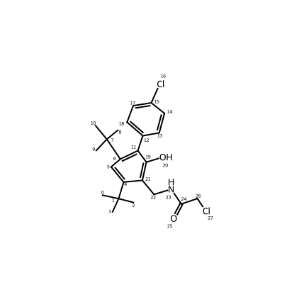 CC(C)(C)c1cc(C(C)(C)C)c(-c2ccc(Cl)cc2)c(O)c1CNC(=O)CCl